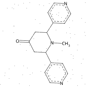 CN1C(c2ccncc2)CC(=O)CC1c1ccncc1